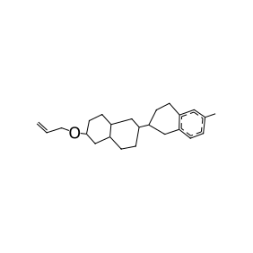 C=CCOC1CCC2CC(C3CCc4cc(C)ccc4C3)CCC2C1